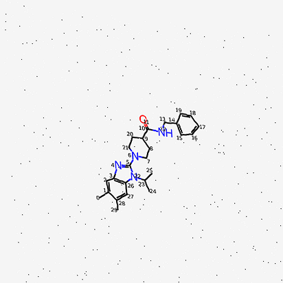 Cc1cc2nc(N3CCC(C(=O)NCc4ccccc4)CC3)n(C(C)C)c2cc1C